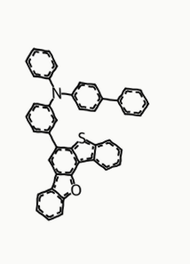 c1ccc(-c2ccc(N(c3ccccc3)c3cccc(-c4cc5c6ccccc6oc5c5c4sc4ccccc45)c3)cc2)cc1